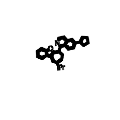 CC(C)C1=CCC(c2nccc3cc(C4=CCCC4)ccc23)=c2oc3ccccc3c2=C1